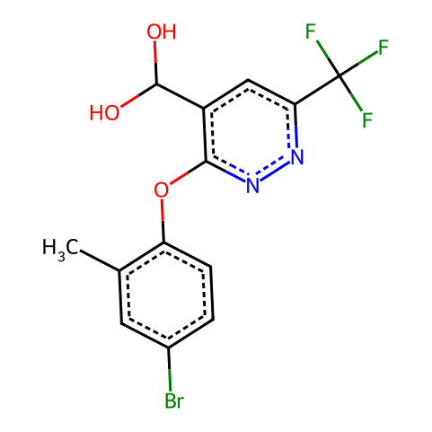 Cc1cc(Br)ccc1Oc1nnc(C(F)(F)F)cc1C(O)O